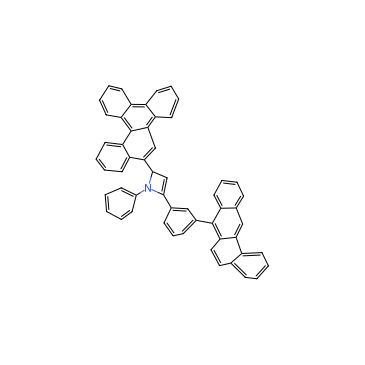 C1=C(c2cccc(-c3c4ccccc4cc4c3ccc3ccccc34)c2)N(c2ccccc2)C1c1cc2c3ccccc3c3ccccc3c2c2ccccc12